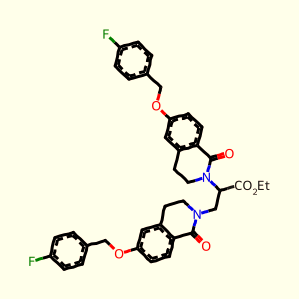 CCOC(=O)C(CN1CCc2cc(OCc3ccc(F)cc3)ccc2C1=O)N1CCc2cc(OCc3ccc(F)cc3)ccc2C1=O